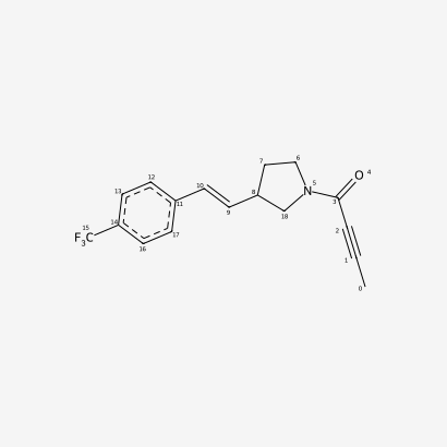 CC#CC(=O)N1CCC(C=Cc2ccc(C(F)(F)F)cc2)C1